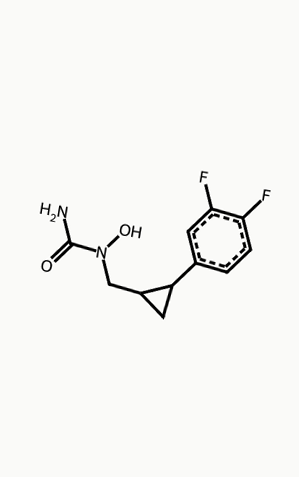 NC(=O)N(O)CC1CC1c1ccc(F)c(F)c1